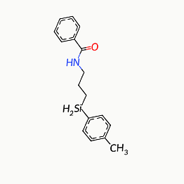 Cc1ccc([SiH2]CCCNC(=O)c2ccccc2)cc1